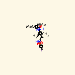 COc1cc(OC)c2c(=O)[nH]c(-c3cc(C)c(C4C[C@H]4CCNS(=O)(=O)c4ccc(CI)cc4)c(C)c3)nc2c1